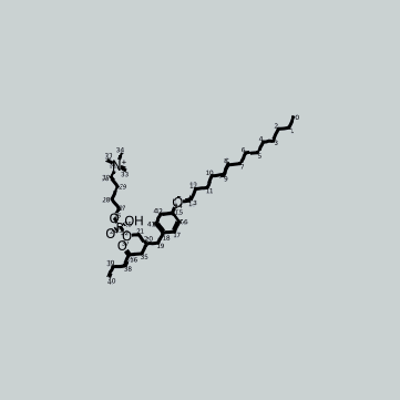 CCCCCCCCCCCCCCOc1ccc(CC(COP(=O)(O)OCCCC[N+](C)(C)C)CC(=O)CCC)cc1